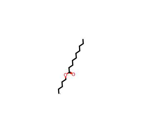 [CH2]CCCCOC(=O)CCCCCCCCC